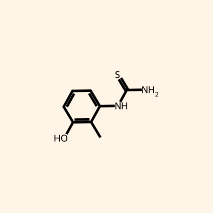 Cc1c(O)cccc1NC(N)=S